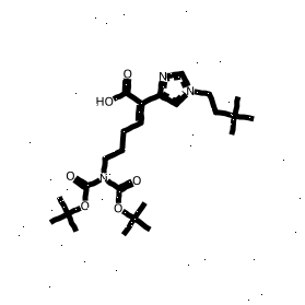 CC(C)(C)CCn1cnc(/C(=C/CCCN(C(=O)OC(C)(C)C)C(=O)OC(C)(C)C)C(=O)O)c1